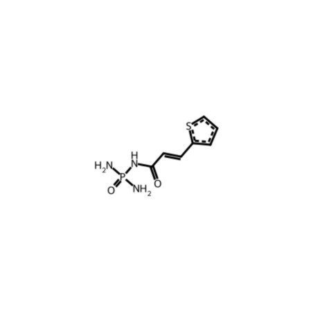 NP(N)(=O)NC(=O)C=Cc1cccs1